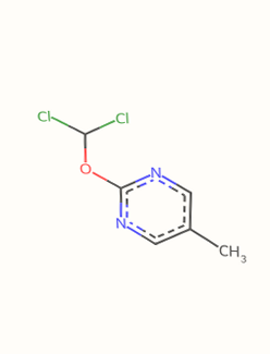 Cc1cnc(OC(Cl)Cl)nc1